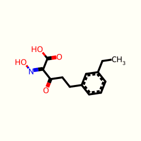 CCc1cccc(CCC(=O)/C(=N/O)C(=O)O)c1